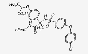 CCCCCNC(=O)[C@@](C)(NS(=O)(=O)c1ccc(Oc2ccc(Cl)cc2)cc1)c1ccc(OC(C(=O)O)C(=O)O)cc1